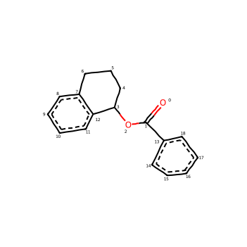 O=C(OC1CCCc2ccccc21)c1ccccc1